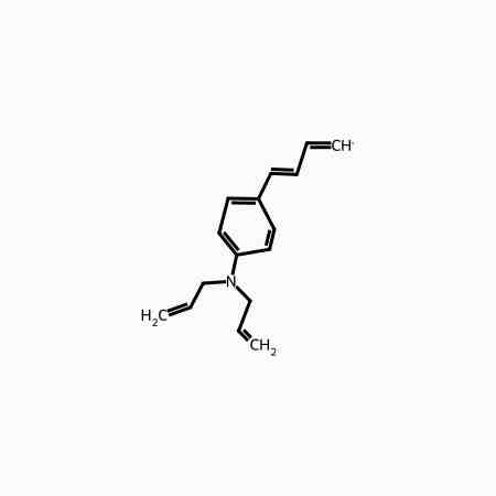 [CH]=CC=Cc1ccc(N(CC=C)CC=C)cc1